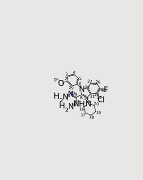 COc1cccc(-n2c(/C(=N/N)NN)c(N3CCCCC3)c3c(Cl)c(F)ccc32)c1